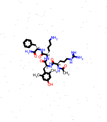 CC(=O)N[C@H](CCCNC(=N)N)C(=O)N[C@@H](Cc1c(C)cc(O)cc1C)C(=O)N[C@@H](CCCCN)C(=O)N[C@@H](Cc1ccccc1)C(N)=O